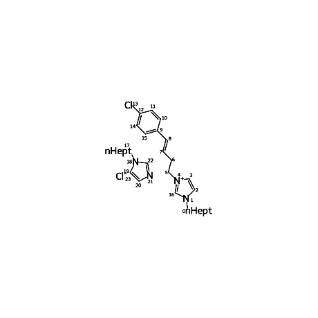 CCCCCCCn1cc[n+](CC/C=C/c2ccc(Cl)cc2)c1.CCCCCCCn1ccnc1.[Cl-]